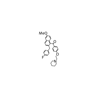 COc1ccc2c(C(=O)c3ccc(OCCN4CCCCC4)cc3)c(Cc3ccc(F)cc3)ccc2c1